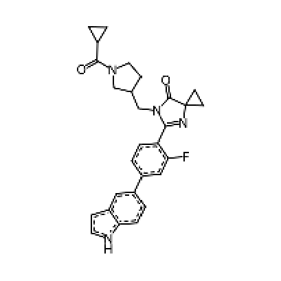 O=C(C1CC1)N1CCC(CN2C(=O)C3(CC3)N=C2c2ccc(-c3ccc4[nH]ccc4c3)cc2F)C1